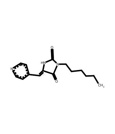 CCCCCCN1C(=O)N/C(=C\c2ccncc2)C1=O